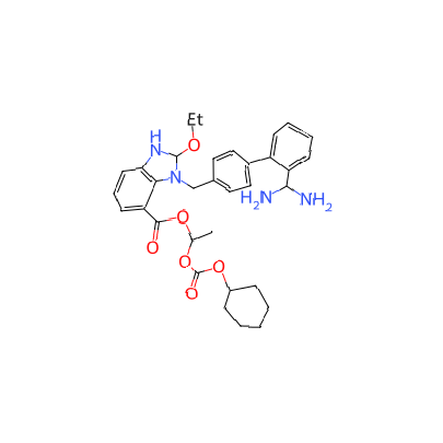 CCOC1Nc2cccc(C(=O)OC(C)OC(=O)OC3CCCCC3)c2N1Cc1ccc(-c2ccccc2C(N)N)cc1